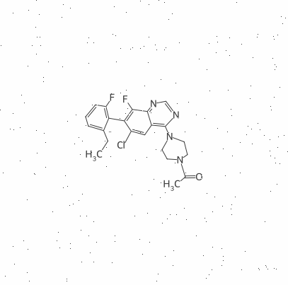 CCc1cccc(F)c1-c1c(Cl)cc2c(N3CCN(C(C)=O)CC3)ncnc2c1F